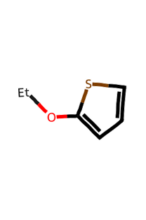 CCOc1cccs1